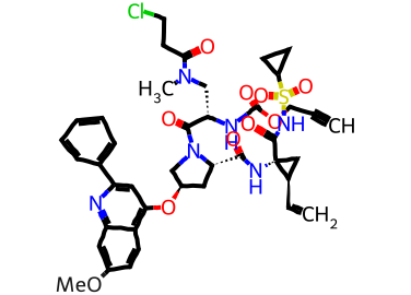 C#CCOC(=O)N[C@@H](CN(C)C(=O)CCCl)C(=O)N1C[C@H](Oc2cc(-c3ccccc3)nc3cc(OC)ccc23)C[C@H]1C(=O)N[C@]1(C(=O)NS(=O)(=O)C2CC2)C[C@H]1C=C